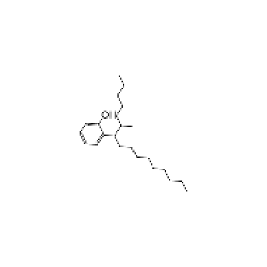 CCCCCCCCCC(c1ccccc1O)C(C)CCCCC